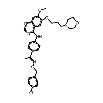 COc1cc2ncnc(Nc3ccc(C(C)=NOCc4ccc(Cl)cc4)cc3)c2cc1OCCCN1CCOCC1